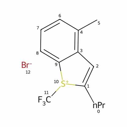 CCCc1cc2c(C)cccc2[s+]1C(F)(F)F.[Br-]